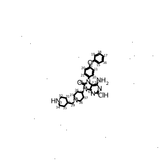 Cl.Nc1ncnc2c1n(-c1ccc(Oc3ccccc3)cc1)c(=O)n2C1CCN(CC2CCNCC2)CC1